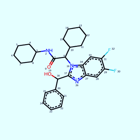 O=C(NC1CCCCC1)C(C1CCCCC1)n1c(C(O)c2ccccc2)nc2cc(F)c(F)cc21